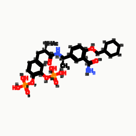 CC(=O)N[C@@H](Cc1ccc(OP(=O)(O)O)c(OP(=O)(O)O)c1)C(=O)N[C@@H](C)c1ccc(OCC2CCCCC2)c(C(N)=O)c1